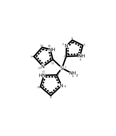 N[Si](c1ncc[nH]1)(c1ncc[nH]1)c1ncc[nH]1